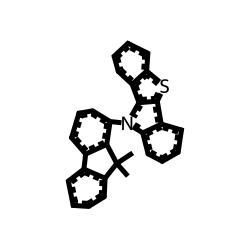 CC1(C)c2ccccc2-c2cccc(-n3c4ccccc4c4sc5ccccc5c43)c21